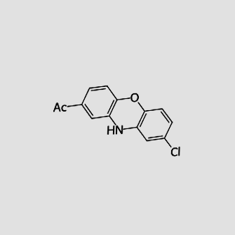 CC(=O)c1ccc2c(c1)Nc1cc(Cl)ccc1O2